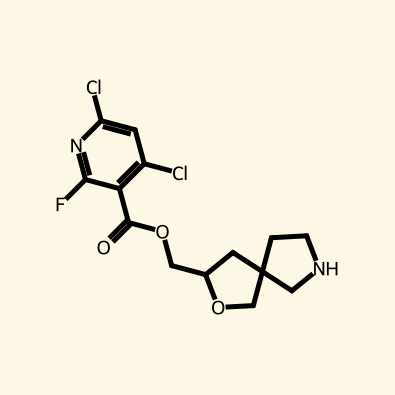 O=C(OCC1CC2(CCNC2)CO1)c1c(Cl)cc(Cl)nc1F